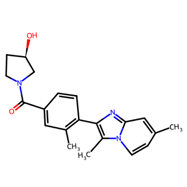 Cc1ccn2c(C)c(-c3ccc(C(=O)N4CC[C@@H](O)C4)cc3C)nc2c1